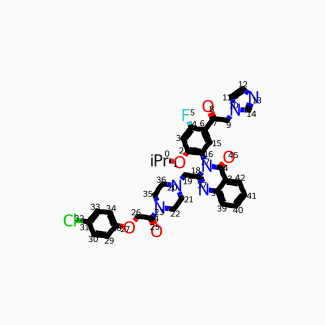 CC(C)Oc1cc(F)c(C(=O)Cn2ccnc2)cc1-n1c(CN2CCN(C(=O)COc3ccc(Cl)cc3)CC2)nc2ccccc2c1=O